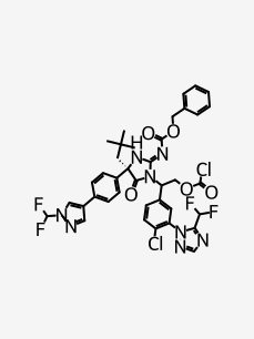 CC(C)(C)C[C@]1(c2ccc(-c3cnn(C(F)F)c3)cc2)NC(=NC(=O)OCc2ccccc2)N(C(COC(=O)Cl)c2ccc(Cl)c(-n3ncnc3C(F)F)c2)C1=O